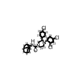 O=C(NC1C2CC3CC(C2)CC1C3)N1CCN(c2ccc(Cl)cc2Cl)C(c2ccc(Cl)cc2)C1